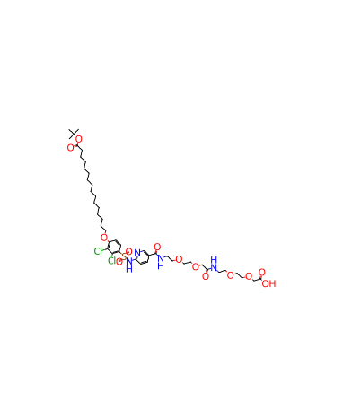 CC(C)(C)OC(=O)CCCCCCCCCCCCCCCOc1ccc(S(=O)(=O)Nc2ccc(C(=O)NCCOCCOCC(=O)NCCOCCOCC(=O)O)cn2)c(Cl)c1Cl